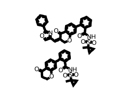 CC1(S(=O)(=O)NC(=O)c2ccccc2-c2ccc3c(c2)OCC(=Cc2coc(-c4ccccc4)n2)C3=O)CC1.CC1(S(=O)(=O)NC(=O)c2ccccc2-c2ccc3c(c2)OCCC3=O)CC1